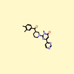 Cc1ccc(C(=O)C2CCCN(c3nc(-c4ccncn4)cc(=O)n3C)C2)cc1C